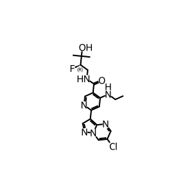 CCNc1cc(-c2cnn3cc(Cl)cnc23)ncc1C(=O)NC[C@@H](F)C(C)(C)O